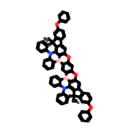 CC1(C)c2cc(Oc3ccccc3)ccc2-c2cc3c4c(c21)N(c1ccccc1)c1ccccc1B4c1cc2c(cc1O3)Oc1cc3c(c4c1B2c1ccccc1N4c1ccccc1)C(C)(C)c1cc(Oc2ccccc2)ccc1-3